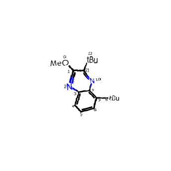 COc1nc2cccc(C(C)(C)C)c2nc1C(C)(C)C